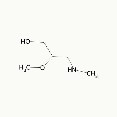 CNCC(CO)OC